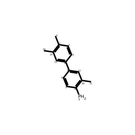 Cc1ccc(-c2ccc(P)c(C)c2)cc1C